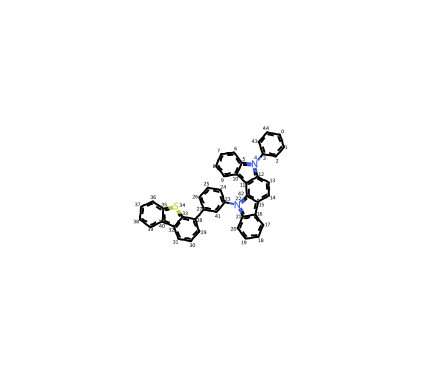 c1ccc(-n2c3ccccc3c3c2ccc2c4ccccc4n(-c4cccc(-c5cccc6c5sc5ccccc56)c4)c23)cc1